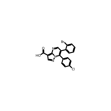 O=C(O)c1cnn2c(-c3ccc(Cl)cc3)c(-c3ccccc3Br)cnc12